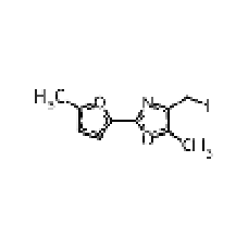 Cc1ccc(-c2nc(CI)c(C)o2)o1